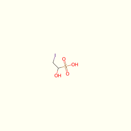 O=S(=O)(O)C(O)CI